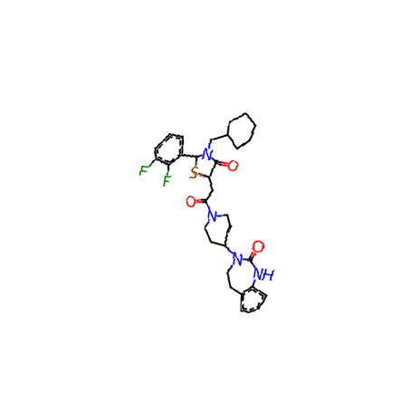 O=C(CC1SC(c2cccc(F)c2F)N(CC2CCCCC2)C1=O)N1CCC(N2CCc3ccccc3NC2=O)CC1